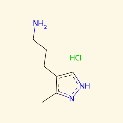 Cc1n[nH]cc1CCCN.Cl